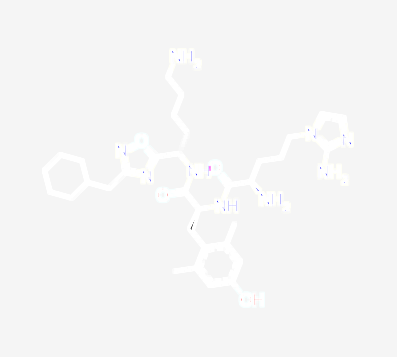 Cc1cc(O)cc(C)c1C[C@H](NC(=O)[C@H](N)CCCn1ccnc1N)C(=O)N[C@@H](CCCCN)c1nc(CC2CCCCC2)no1